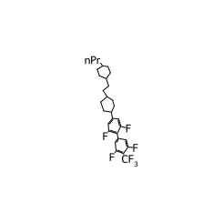 CCCC1CCC(CCC2CCC(c3cc(F)c(-c4cc(F)c(C(F)(F)F)c(F)c4)c(F)c3)CC2)CC1